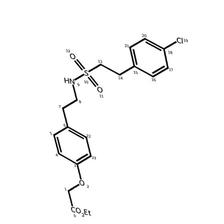 CCOC(=O)COc1ccc(CCNS(=O)(=O)CCc2ccc(Cl)cc2)cc1